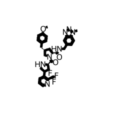 COc1ccc(C[C@@H]2C[C@@H](C(=O)NCc3ccc4c(c3)nnn4C)N(C(=O)[C@H]3CC(c4cccnc4C(F)(F)F)CN3)C2)cc1